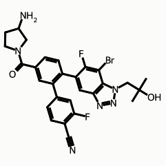 CC(C)(O)Cn1nnc2cc(-c3ccc(C(=O)N4CCC(N)C4)cc3-c3ccc(C#N)c(F)c3)c(F)c(Br)c21